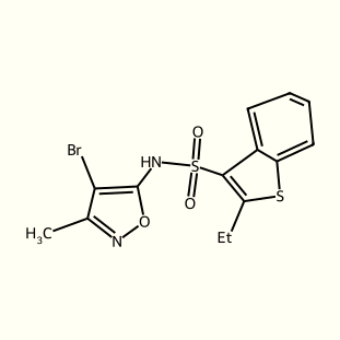 CCc1sc2ccccc2c1S(=O)(=O)Nc1onc(C)c1Br